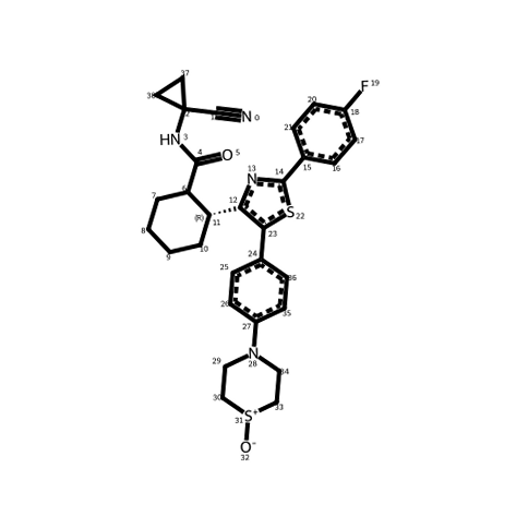 N#CC1(NC(=O)C2CCCC[C@H]2c2nc(-c3ccc(F)cc3)sc2-c2ccc(N3CC[S+]([O-])CC3)cc2)CC1